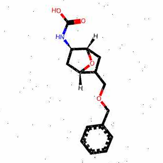 O=C(O)N[C@@H]1C[C@@H]2O[C@H]1CC2COCc1ccccc1